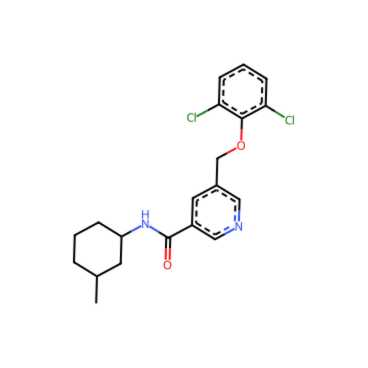 CC1CCCC(NC(=O)c2cncc(COc3c(Cl)cccc3Cl)c2)C1